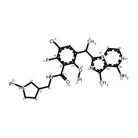 Cc1nc(C(C)c2cc(Cl)c(F)c(C(=O)NCC3CCN(C(C)C)C3)c2OC(C)C)n2ccnc(N)c12